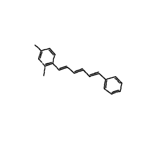 Cc1ccc(C=CC=CC=Cc2ccccc2)c(C)c1